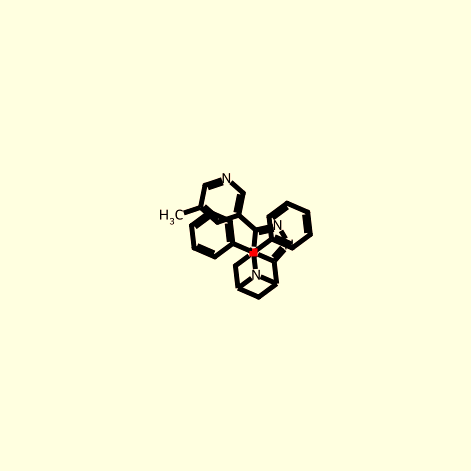 Cc1cncc(-c2nnc3n2CC2CC3N2C(c2ccccc2)c2ccccc2)c1